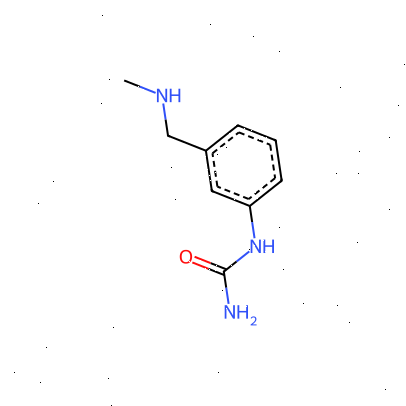 CNCc1cccc(NC(N)=O)c1